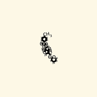 Cc1ccc(S(=O)(=O)OC2CO[C@@H]3C(COC4CCCCO4)CO[C@H]23)cc1